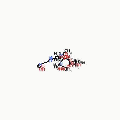 CC[C@H]1OC(=O)[C@H](C)[C@@H](O[C@H]2C[C@@](C)(OC)[C@@H](O)[C@H](C)O2)[C@H](C)[C@@H](O[C@@H]2O[C@H](C)C[C@H](N(C)Cc3ccc(-c4cn(CCCCCCn5cccc(O)c5=O)nn4)cc3)[C@H]2O)[C@](C)(O)C[C@@H](C)CN(C)[C@H](C)[C@@H](O)[C@]1(C)O